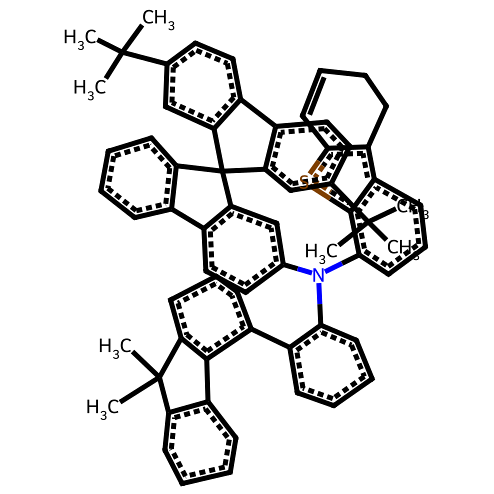 CC(C)(C)c1ccc2c(c1)C1(c3ccccc3-c3ccc(N(c4ccccc4-c4cccc5c4-c4ccccc4C5(C)C)c4cccc5c6c(sc45)C=CCC6)cc31)c1cc(C(C)(C)C)ccc1-2